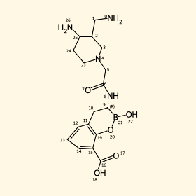 NCC1CN(CC(=O)N[C@H]2Cc3cccc(C(=O)O)c3OB2O)CCC1N